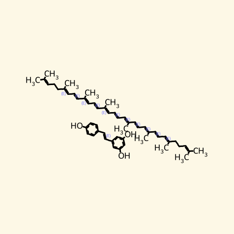 CC(C)=CCC/C(C)=C/C=C/C(C)=C/C=C/C(C)=C/C=C/C=C(C)/C=C/C=C(C)/C=C/C=C(\C)CCC=C(C)C.Oc1ccc(/C=C/c2cc(O)cc(O)c2)cc1